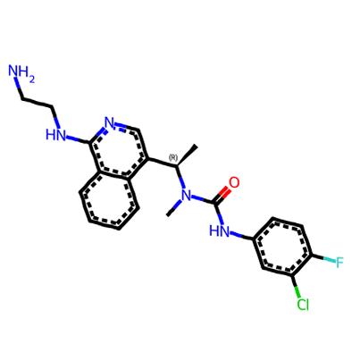 C[C@H](c1cnc(NCCN)c2ccccc12)N(C)C(=O)Nc1ccc(F)c(Cl)c1